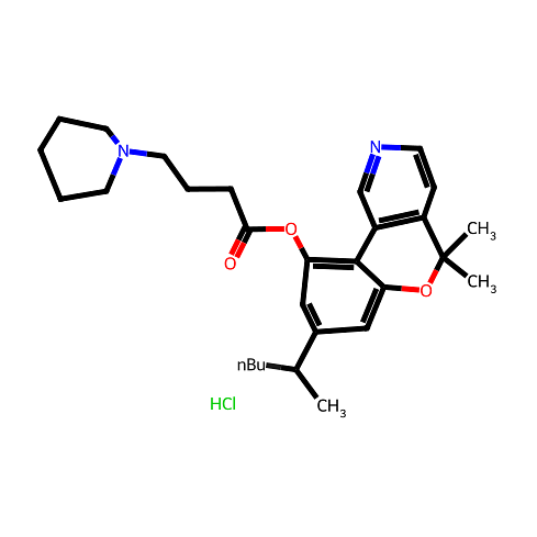 CCCCC(C)c1cc(OC(=O)CCCN2CCCCC2)c2c(c1)OC(C)(C)c1ccncc1-2.Cl